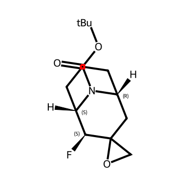 CC(C)(C)OC(=O)N1[C@@H]2CCC[C@H]1[C@H](F)C1(CO1)C2